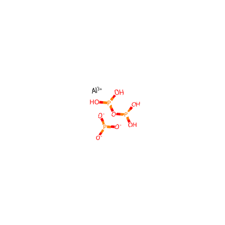 OP(O)OP(O)O.[Al+3].[O-]P([O-])[O-]